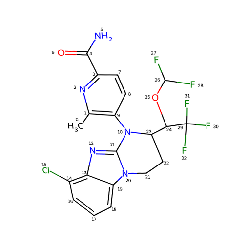 Cc1nc(C(N)=O)ccc1N1c2nc3c(Cl)cccc3n2CCC1C(OC(F)F)C(F)(F)F